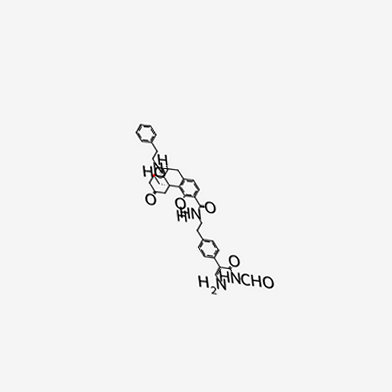 N/C=C(\C(=O)NC=O)c1ccc(CCNC(=O)c2ccc3c(c2O)[C@]24CCN(CCc5ccccc5)[C@H](C3)[C@]2(O)CCC(=O)C4)cc1